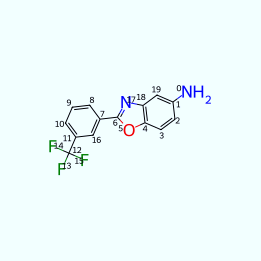 Nc1ccc2oc(-c3cccc(C(F)(F)F)c3)nc2c1